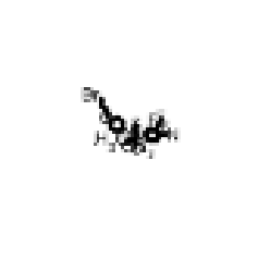 CC1(C)C(=O)N(c2ccc(C#N)c(C(F)(F)F)c2)C(=S)N1[C@H]1CC[C@H](OCCCBr)CC1